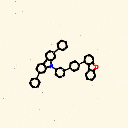 c1ccc(-c2ccc3c4ccc(-c5ccccc5)cc4n(-c4cccc(-c5ccc(-c6cccc7oc8ccccc8c67)cc5)c4)c3c2)cc1